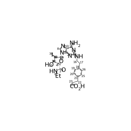 CCNC(=O)[C@H]1O[C@@H](n2cnc3c(N)nc(NCCc4ccc(CCC(=O)O)cc4)nc32)[C@H](I)[C@@H]1O